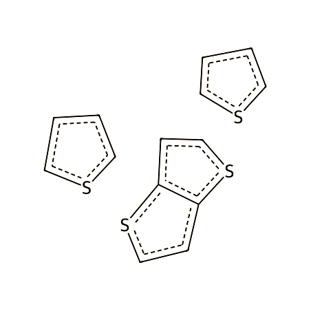 c1cc2sccc2s1.c1ccsc1.c1ccsc1